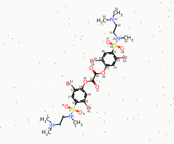 CN(C)CCN(C)S(=O)(=O)c1cc(Br)c(OC(=O)C(=O)Oc2cc(Br)c(S(=O)(=O)N(C)CCN(C)C)cc2Br)cc1Br